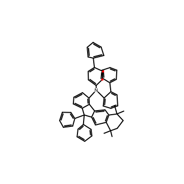 CC1(C)CCC(C)(C)c2cc3c(cc21)-c1c(N(c2ccc(-c4ccccc4)cc2)c2ccccc2-c2ccccc2)cccc1C3(c1ccccc1)c1ccccc1